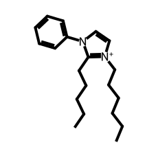 CCCCCC[n+]1ccn(-c2ccccc2)c1CCCCC